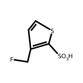 O=S(=O)(O)c1sccc1CF